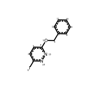 Ic1ccc(OCc2ccccc2)nn1